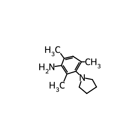 Cc1cc(C)c(N2CCCC2)c(C)c1N